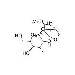 CO[C@H]1OC2COC(C1O)[C@H]2O[C@@H]1OC(CO)[C@H](O)C(C)C1O